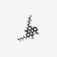 CCCCCCc1ccc(P(C(C)c2c(C)cccc2CC)C2CCC(CCCCCC)CC2C(C)C)c(C(C)C)c1